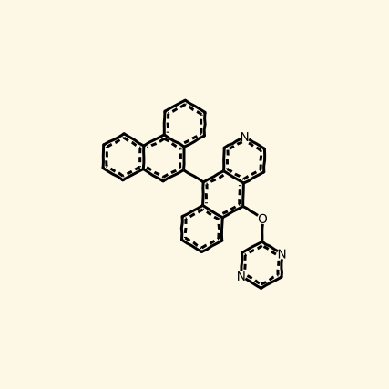 c1ccc2c(c1)cc(-c1c3ccccc3c(Oc3cnccn3)c3ccncc13)c1ccccc12